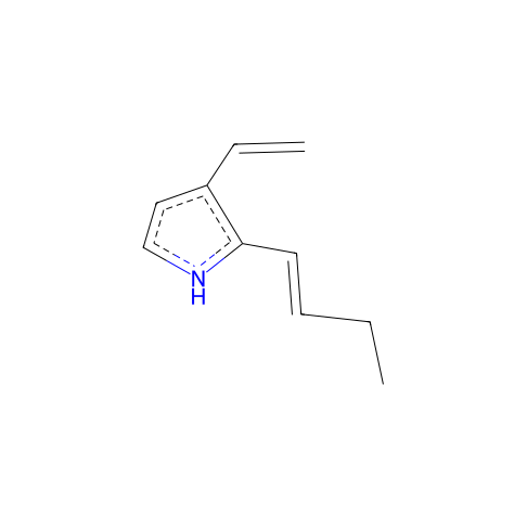 C=Cc1cc[nH]c1/C=C/CC